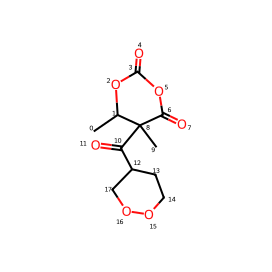 CC1OC(=O)OC(=O)C1(C)C(=O)C1CCOOC1